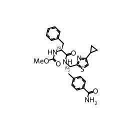 COC(=O)N[C@@H](Cc1ccccc1)C(=O)N[C@@H](Cc1ccc(C(N)=O)cc1)c1nc(C2CC2)cs1